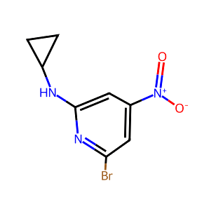 O=[N+]([O-])c1cc(Br)nc(NC2CC2)c1